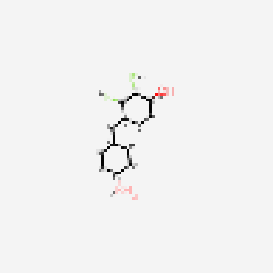 BC1CCC(CC2CCC(O)C(F)C2F)CC1